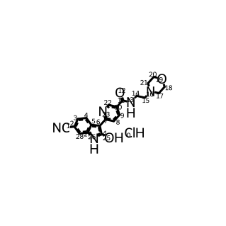 Cl.N#Cc1ccc2c(-c3ccc(C(=O)NCCN4CCOCC4)cn3)c(O)[nH]c2c1